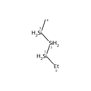 CC[SiH2][SiH2][SiH2]C